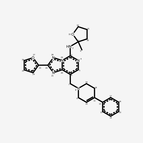 CC1(Nc2ncc(CN3CC=C(c4ccccc4)CC3)c3nc(-c4ccco4)nn23)CCCO1